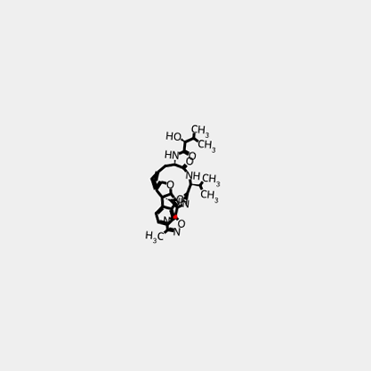 Cc1noc(-c2nc3oc2[C@@]24c5ccccc5NC2Oc2ccc(cc24)C[C@H](NC(=O)[C@@H](O)C(C)C)C(=O)N[C@H]3C(C)C)n1